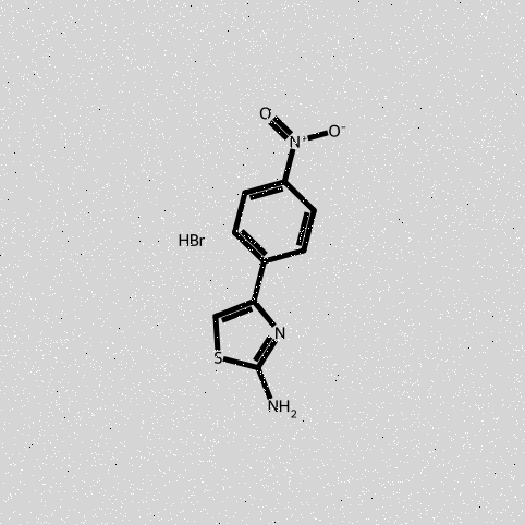 Br.Nc1nc(-c2ccc([N+](=O)[O-])cc2)cs1